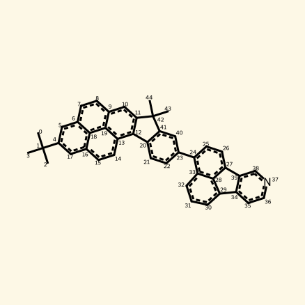 CC(C)(C)c1cc2ccc3cc4c(c5ccc(c1)c2c35)-c1ccc(-c2ccc3c5c(cccc25)-c2ccncc2-3)cc1C4(C)C